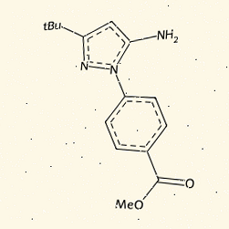 COC(=O)c1ccc(-n2nc(C(C)(C)C)cc2N)cc1